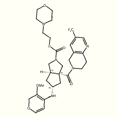 COC1=C(N[C@@H]2C[C@H]3CN(C(=O)OCCN4CCOCC4)C[C@@]3(C(=O)N3CCc4ncc(C(F)(F)F)cc4C3)C2)C=COC1